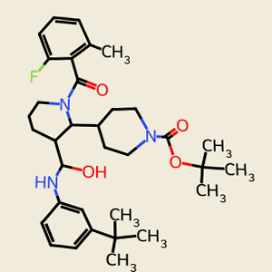 Cc1cccc(F)c1C(=O)N1CCCC(C(O)Nc2cccc(C(C)(C)C)c2)C1C1CCN(C(=O)OC(C)(C)C)CC1